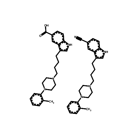 Cc1ccccc1N1CCN(CCCCc2c[nH]c3ccc(C#N)cc23)CC1.Cc1ccccc1N1CCN(CCCCc2c[nH]c3ccc(C(=O)O)cc23)CC1